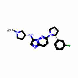 O=C(O)N1CC[C@@H](Nc2cnc3ccc(N4CCC[C@@H]4c4cccc(F)c4)nn23)C1